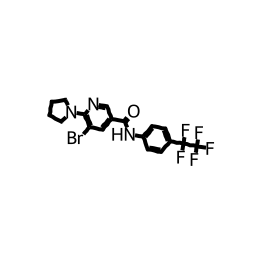 O=C(Nc1ccc(C(F)(F)C(F)(F)F)cc1)c1cnc(N2CCCC2)c(Br)c1